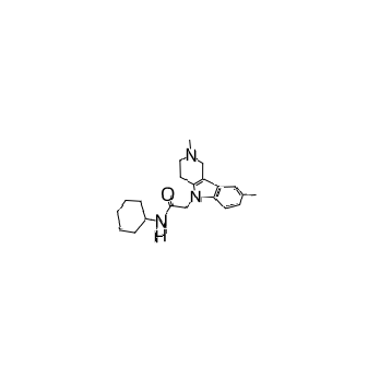 Cc1ccc2c(c1)c1c(n2CC(=O)NC2CCCCC2)CCN(C)C1